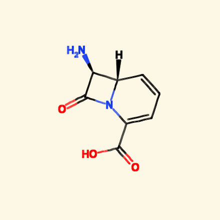 N[C@@H]1C(=O)N2C(C(=O)O)=CC=C[C@@H]12